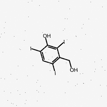 OCc1c(I)cc(I)c(O)c1I